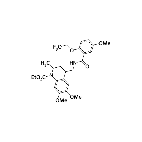 CCOC(=O)N1c2cc(OC)c(OC)cc2C(CNC(=O)c2cc(OC)ccc2OCC(F)(F)F)CC1C